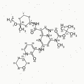 CO[C@]1(C)CCC[C@@H](NC(=O)c2cnn3c(N(C)C(=O)OC(C)(C)C)cc(Nc4cccn([C@H]5CCCOC5)c4=O)nc23)C1